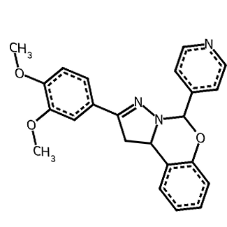 COc1ccc(C2=NN3C(C2)c2ccccc2OC3c2ccncc2)cc1OC